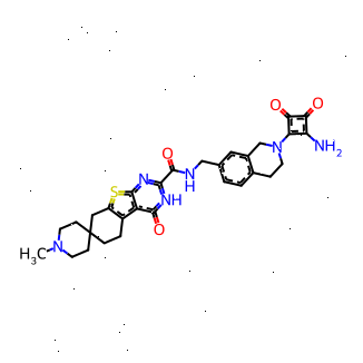 CN1CCC2(CCc3c(sc4nc(C(=O)NCc5ccc6c(c5)CN(c5c(N)c(=O)c5=O)CC6)[nH]c(=O)c34)C2)CC1